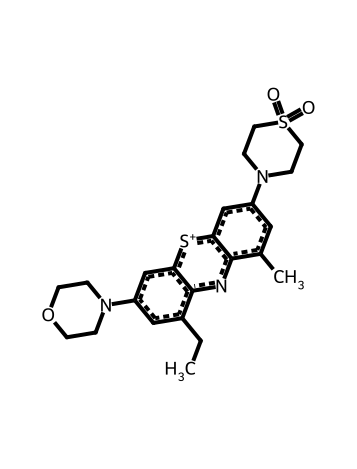 CCc1cc(N2CCOCC2)cc2[s+]c3cc(N4CCS(=O)(=O)CC4)cc(C)c3nc12